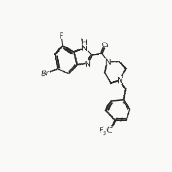 O=C(c1nc2cc(Br)cc(F)c2[nH]1)N1CCN(Cc2ccc(C(F)(F)F)cc2)CC1